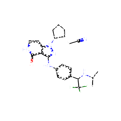 CC(C)NC(c1ccc(Nc2nn([C@H]3CCC[C@@H]3CC#N)c3cc[nH]c(=O)c23)cc1)C(F)(F)F